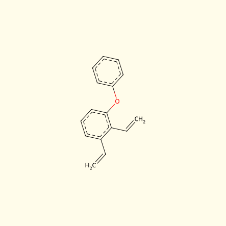 C=Cc1cccc(Oc2ccccc2)c1C=C